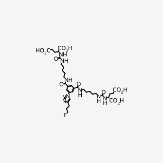 O=C(O)CCC(NC(=O)NCCCCCNC(=O)c1cc(C(=O)NCCCCCNC(=O)N[C@@H](CCC(=O)O)C(=O)O)cc(-n2cc(CCCF)nn2)c1)C(=O)O